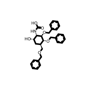 O=C(O)N[C@@H]1[C@@H](OCc2ccccc2)[C@H](OCc2ccccc2)[C@@H](COCc2ccccc2)C[C@@H]1O